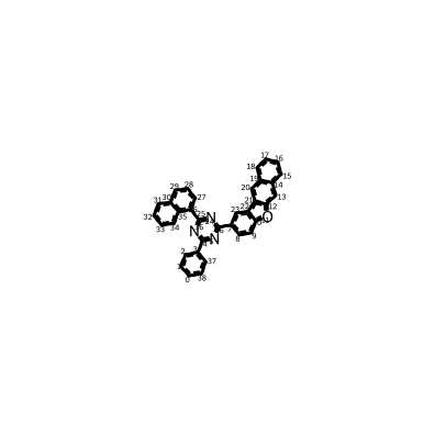 c1ccc(-c2nc(-c3ccc4oc5cc6ccccc6cc5c4c3)nc(-c3cccc4ccccc34)n2)cc1